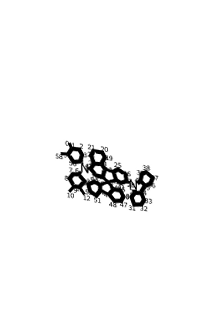 Cc1ccc(N(c2ccc(C)c(C)c2)c2cc3c(c4ccccc24)-c2ccc(-n4c5ccccc5c5ccccc54)cc2C32c3ccccc3-c3ccccc32)cc1C